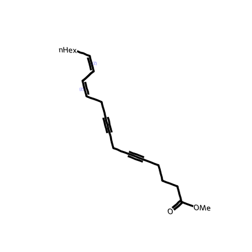 CCCCCC/C=C\C=C/CC#CCC#CCCCC(=O)OC